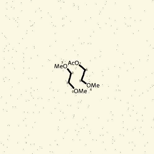 COCCOC.COCCOC(C)=O